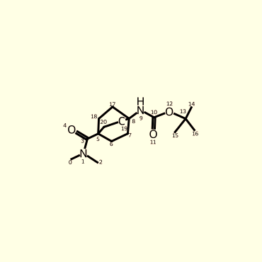 CN(C)C(=O)C12CCC(NC(=O)OC(C)(C)C)(CC1)CC2